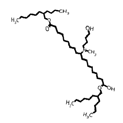 CCCCCCC(CCCC)COC(=O)CCCCCCCCC(CCCCCCCCC(O)OCC(CCCC)CCCCCC)N(C)CCCCO